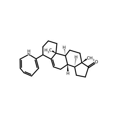 C[C@]12CCCC(C3=CC=CC=CN3)C1=CC[C@@H]1[C@@H]2CC[C@]2(C)C(=O)CC[C@@H]12